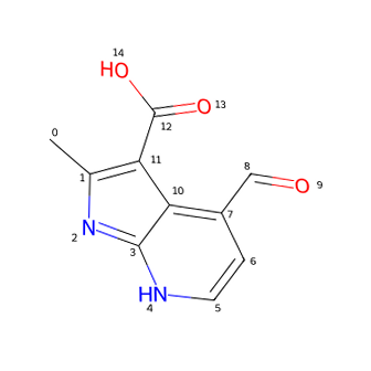 Cc1nc2[nH]ccc(C=O)c-2c1C(=O)O